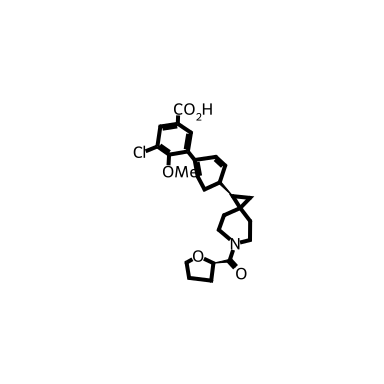 COc1c(Cl)cc(C(=O)O)cc1C1=CCC([C@H]2CC23CCN(C(=O)[C@H]2CCCO2)CC3)C=C1